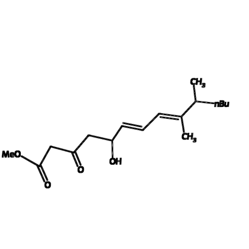 CCCCC(C)/C(C)=C/C=C/C(O)CC(=O)CC(=O)OC